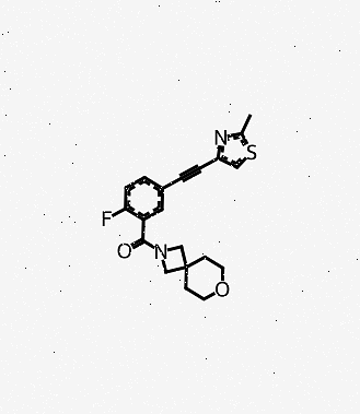 Cc1nc(C#Cc2ccc(F)c(C(=O)N3CC4(CCOCC4)C3)c2)cs1